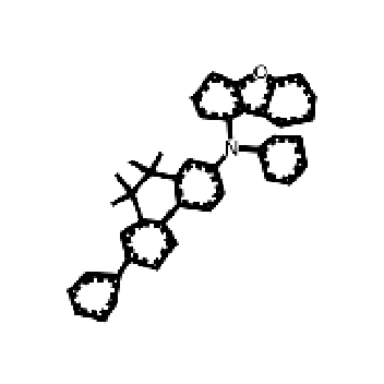 CC1(C)c2cc(-c3ccccc3)ccc2-c2ccc(N(c3ccccc3)c3cccc4oc5ccccc5c34)cc2C1(C)C